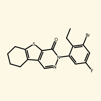 CCc1c(Br)cc(F)cc1-n1ncc2c3c(sc2c1=O)CCCC3